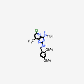 CCCCNc1nc(NCc2ccc(OC)cc2OC)nc2c(C)cc(Cl)nc12